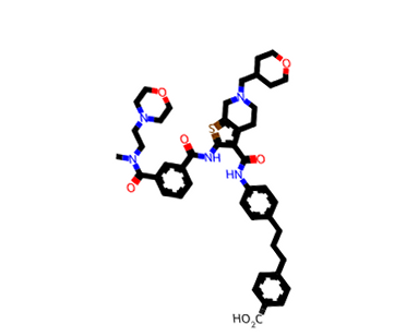 CN(CCN1CCOCC1)C(=O)c1cccc(C(=O)Nc2sc3c(c2C(=O)Nc2ccc(CCCc4ccc(C(=O)O)cc4)cc2)CCN(CC2CCOCC2)C3)c1